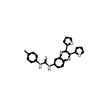 Cc1ccc(NC(=S)Nc2ccc3nc(-c4ccco4)c(-c4ccco4)nc3c2)cc1